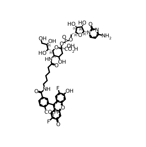 Nc1ccn([C@@H]2O[C@H](COP(=O)(O)O[C@@]3(C(=O)O)CC(O)[C@@H](NC(=O)CCCCCNC(=O)c4ccc(C(=O)O)c(-c5c6cc(F)c(=O)cc-6oc6cc(O)c(F)cc56)c4)[C@H](C(O)[C@H](O)CO)O3)[C@@H](O)[C@H]2O)c(=O)n1